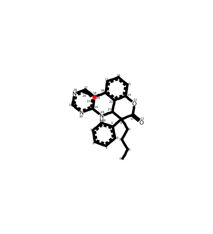 CCCCC1(c2ccccc2)C(=O)Oc2cccc(N(C)C)c2C1Nc1ncncn1